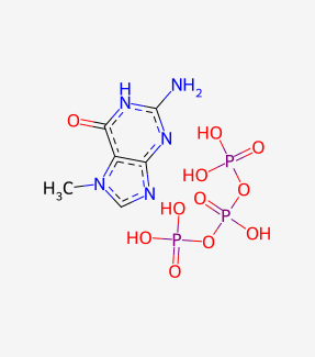 Cn1cnc2nc(N)[nH]c(=O)c21.O=P(O)(O)OP(=O)(O)OP(=O)(O)O